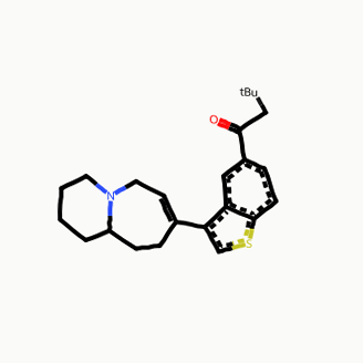 CC(C)(C)CC(=O)c1ccc2scc(C3=CCN4CCCCC4CC3)c2c1